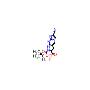 CC(C)(C)OC(=O)NC(Cc1cnc2nc(C#N)cn2c1)C(=O)O